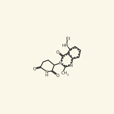 CCNc1cccc2nc(C)n(C3CCC(=O)NC3=O)c(=O)c12